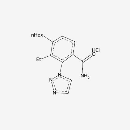 CCCCCCc1ccc(C(N)=O)c(-n2ccnn2)c1CC.Cl